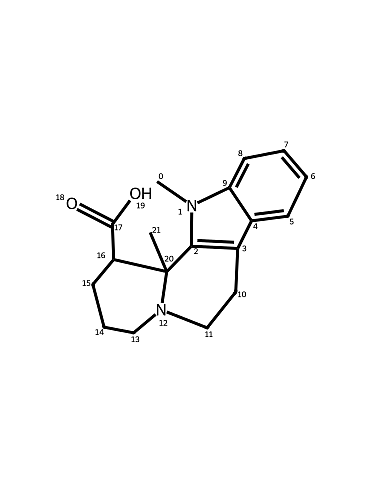 Cn1c2c(c3ccccc31)CCN1CCCC(C(=O)O)C21C